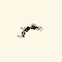 COc1cc(CC(C)C)ccc1COc1ccc2c(c1)CCC(CN1CCN(C(C)=O)CC1)=C2C